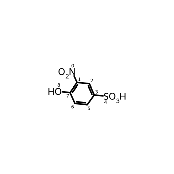 O=[N+]([O-])c1cc(S(=O)(=O)O)ccc1O